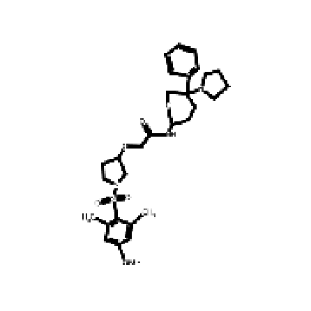 COc1cc(C)c(S(=O)(=O)N2CCC(OCC(=O)NC3CCC(c4ccccc4)(N4CCCC4)CC3)C2)c(C)c1